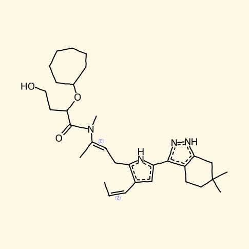 C/C=C\c1cc(-c2n[nH]c3c2CCC(C)(C)C3)[nH]c1C/C=C(\C)N(C)C(=O)C(CCO)OC1CCCCCC1